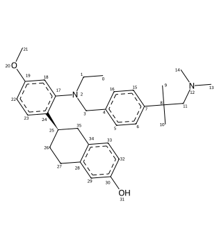 CCN(Cc1ccc(C(C)(C)CN(C)C)cc1)c1cc(OC)ccc1[C@@H]1CCc2cc(O)ccc2C1